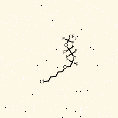 FC(F)(COCCCCCCl)OC(F)(F)C(F)(F)OC(F)(F)C(F)(F)F